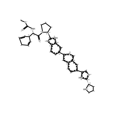 COC(=O)N[C@H](C(=O)N1CCC[C@H]1c1nc2ccc(-c3cc4ccc(-c5cnc([C@@H]6CCCN6)[nH]5)cc4cn3)cc2[nH]1)C1C=CCC=C1